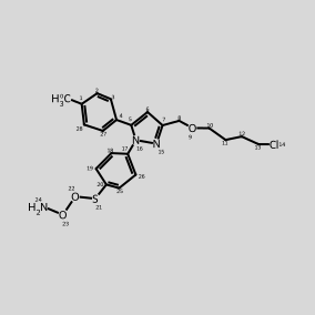 Cc1ccc(-c2cc(COCCCCCl)nn2-c2ccc(SOON)cc2)cc1